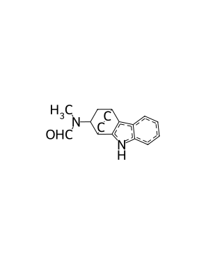 CN(C=O)C1CC2CCC1c1[nH]c3ccccc3c12